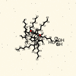 CCCCCCCC(CC)[S+]([O-])C1CC(O)([S+]([O-])C(CC)CCCCCCC)C([S+]([O-])C(CC)CCCCCCC)([S+]([O-])C(CC)CCCCCCC)C1([S+]([O-])C(CC)CCCCCCC)[S+]([O-])C(CC)CCCCCCC.O=P(O)(O)O